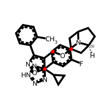 Cc1ccccc1-c1noc(C2CC2)c1COC1CC2CC[C@@H](C1)N2c1ccc(-c2nn[nH]n2)cc1F